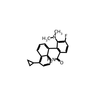 CN(C)c1c(F)ccc(C(N)=O)c1-c1cccc2c(C3CC3)cccc12